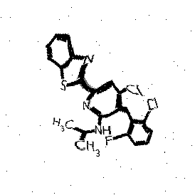 CC(C)Nc1nc(C2=NC3C=CC=CC3S2)cc(Cl)c1-c1c(F)cccc1Cl